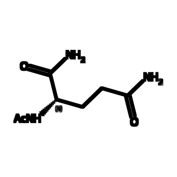 CC(=O)N[C@@H](CCC(N)=O)C(N)=O